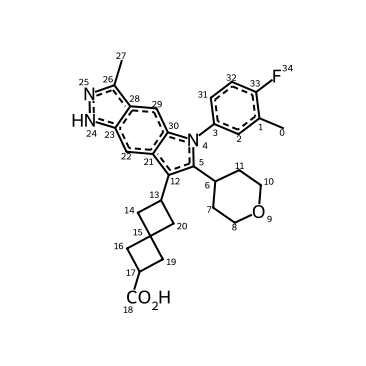 Cc1cc(-n2c(C3CCOCC3)c(C3CC4(CC(C(=O)O)C4)C3)c3cc4[nH]nc(C)c4cc32)ccc1F